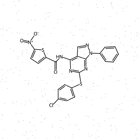 O=C(Nc1nc(Sc2ccc(Cl)cc2)nc2c1cnn2-c1ccccc1)c1ccc([N+](=O)[O-])s1